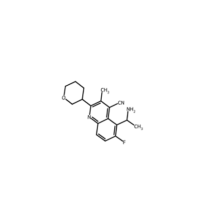 Cc1c(C2CCCOC2)nc2ccc(F)c(C(C)N)c2c1C#N